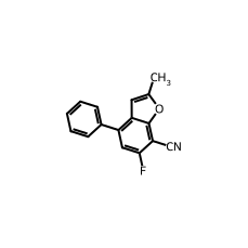 Cc1cc2c(-c3ccccc3)cc(F)c(C#N)c2o1